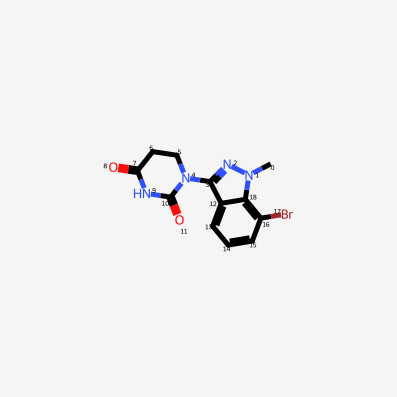 Cn1nc(N2CCC(=O)NC2=O)c2cccc(Br)c21